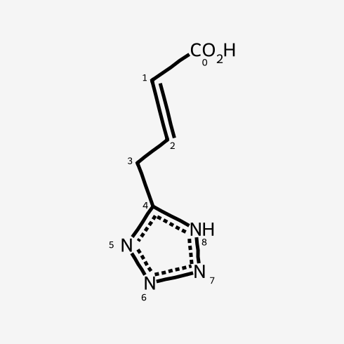 O=C(O)C=CCc1nnn[nH]1